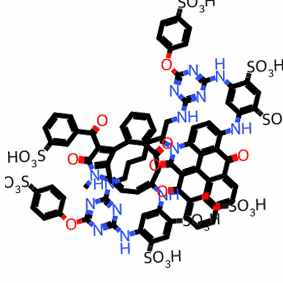 C=c1c2c(C(=O)c3cccc(S(=O)(=O)O)c3)c(=O)n(C)/c1=C/C=C(/Nc1cc(Nc3nc(NCCCCCCNc4nc(Nc5cc(Nc6ccc7c8c6C(=O)c6ccccc6-c8c(C(=O)c6cccc(S(=O)(=O)O)c6)c(=O)n7C)c(S(=O)(=O)O)cc5S(=O)(=O)O)nc(Oc5ccc(S(=O)(=O)O)cc5)n4)nc(Oc4ccc(S(=O)(=O)O)cc4)n3)c(S(=O)(=O)O)cc1S(=O)(=O)O)CC(=O)c1ccccc1-2